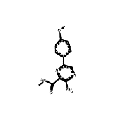 CNC(=O)c1nc(-c2ccc(OC)cc2)cnc1N